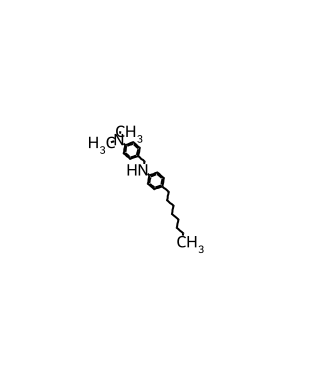 CCCCCCCCc1ccc(NCc2ccc(N(C)C)cc2)cc1